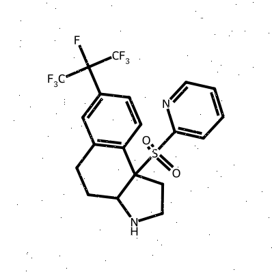 O=S(=O)(c1ccccn1)C12CCNC1CCc1cc(C(F)(C(F)(F)F)C(F)(F)F)ccc12